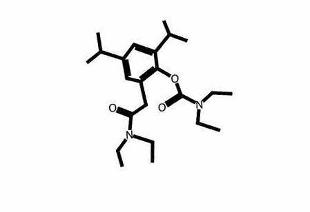 CCN(CC)C(=O)Cc1cc(C(C)C)cc(C(C)C)c1OC(=O)N(CC)CC